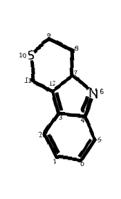 c1ccc2c(c1)=NC1CCSCC=21